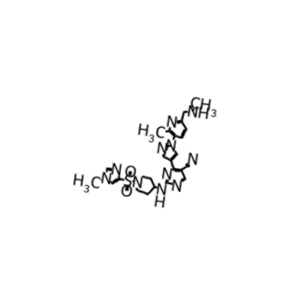 CNCc1ccc(-n2cc(-c3nc(NC4CCN(S(=O)(=O)c5cn(C)cn5)CC4)ncc3C#N)cn2)c(C)n1